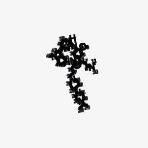 COc1cc(N(C)CCN(C)C)c(NC(=O)/C=C/CN2CCC(N3CCN(C(C)C)CC3)CC2)cc1Nc1nccc(-c2cn(C)c3ccccc23)n1